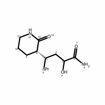 CCCC(CC(O)C(N)=O)[C@@H]1CCCNC1=O